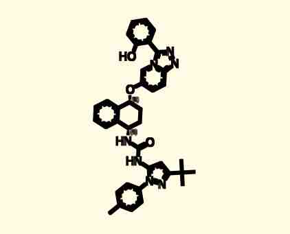 Cc1ccc(-n2nc(C(C)(C)C)cc2NC(=O)N[C@H]2CC[C@@H](Oc3ccc4nnc(-c5ccccc5O)n4c3)c3ccccc32)cc1